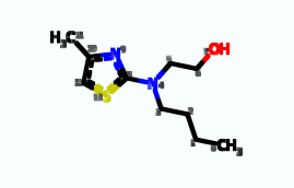 CCCCN(CCO)c1nc(C)cs1